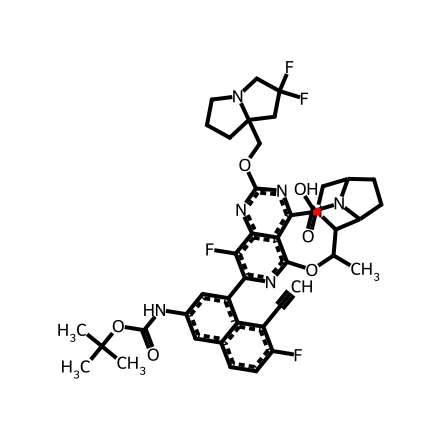 C#Cc1c(F)ccc2cc(NC(=O)OC(C)(C)C)cc(-c3nc4c5c(nc(OCC67CCCN6CC(F)(F)C7)nc5c3F)N3CC5CCC(C3C(C)O4)N5C(=O)O)c12